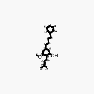 COc1cc(/C=C/C=C/c2ccccc2)cc(O)c1CC=C(C)C